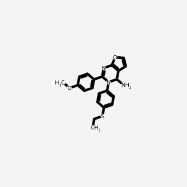 CCSc1ccc(N2C(c3ccc(OC)cc3)=Nc3occc3C2N)cc1